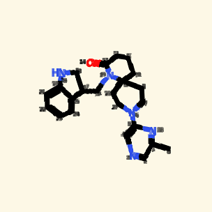 Cc1cncc(N2CCC3(CCCC(=O)N3CC3CNc4ccccc43)CC2)n1